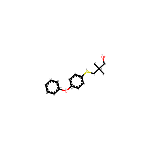 CC(C)(CO)CSc1ccc(Oc2ccccc2)cc1